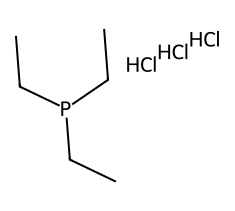 CCP(CC)CC.Cl.Cl.Cl